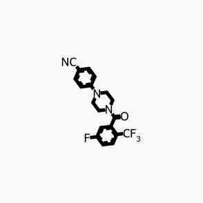 N#Cc1ccc(N2CCN(C(=O)c3cc(F)ccc3C(F)(F)F)CC2)cc1